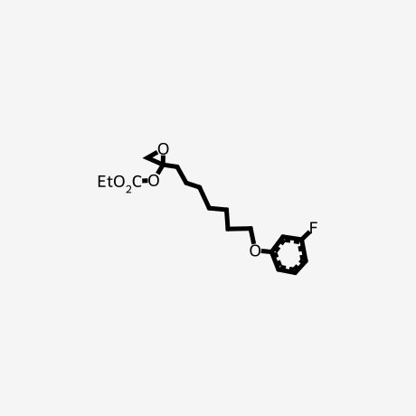 CCOC(=O)OC1(CCCCCCCOc2cccc(F)c2)CO1